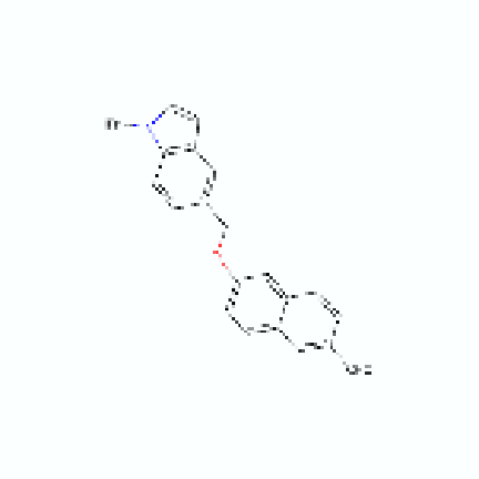 CC(C)n1ccc2cc(COc3ccc4cc(C=O)ccc4c3)ccc21